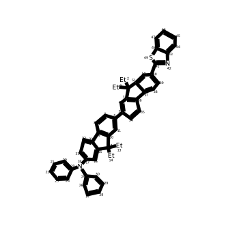 CCC1(CC)c2cc(-c3ccc4c(c3)C(CC)(CC)c3cc(N(c5ccccc5)c5ccccc5)ccc3-4)ccc2-c2ccc(-c3nc4ccccc4s3)cc21